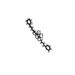 ClC(OCCCCC1CCCCC1)OC(Cl)OCCCCC1CCCCC1